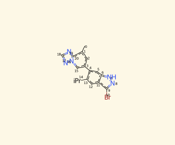 Cc1cc(-c2cc3[nH]nc(Br)c3cc2C(C)C)cn2ncnc12